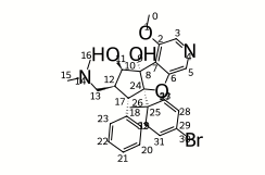 COc1cncc2c1[C@]1(O)[C@H](O)[C@H](CN(C)C)[C@@H](c3ccccc3)[C@]1(C1(C)C=CC(Br)=CC1)O2